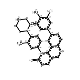 O=c1ccc2cnc3ccc(-c4cc(Cl)c(O)c(Cl)c4)cc3c2n1-c1ccc(N2CCNCC2)c(C(F)(F)F)c1